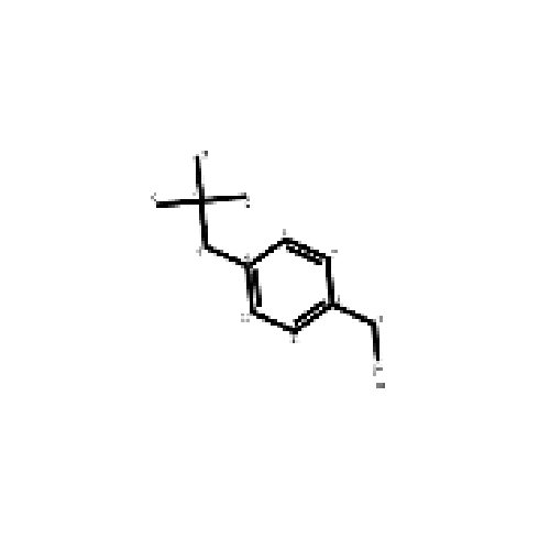 CC(C)(C)Cc1ccc(CF)cc1